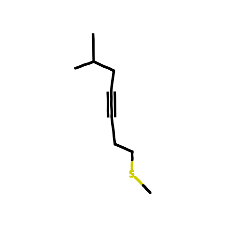 CSCCC#CCC(C)C